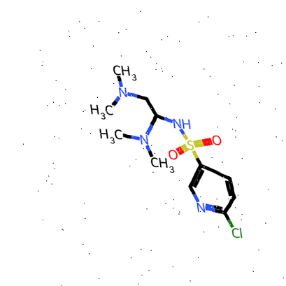 CN(C)CC(NS(=O)(=O)c1ccc(Cl)nc1)N(C)C